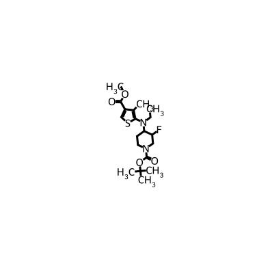 CCN(c1scc(C(=O)OC)c1C)C1CCN(C(=O)OC(C)(C)C)CC1F